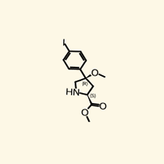 COC(=O)[C@@H]1C[C@@](OC)(c2ccc(I)cc2)CN1